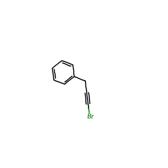 BrC#CCc1ccccc1